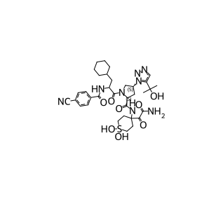 CC(C)(O)c1cnnn1[C@H]1C[C@@H](C(=O)NC2(C(=O)C(N)=O)CCS(O)(O)CC2)N(C(=O)C(CC2CCCCC2)NC(=O)c2ccc(C#N)cc2)C1